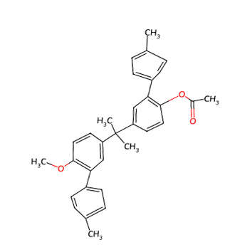 COc1ccc(C(C)(C)c2ccc(OC(C)=O)c(-c3ccc(C)cc3)c2)cc1-c1ccc(C)cc1